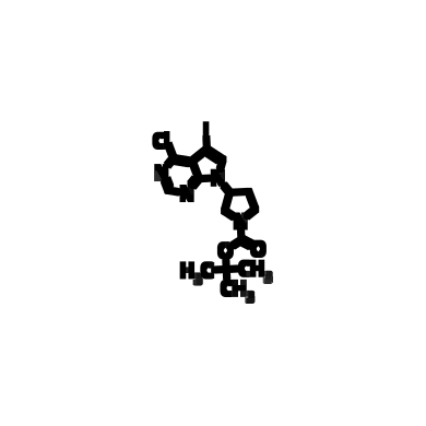 CC(C)(C)OC(=O)N1CCC(n2cc(I)c3c(Cl)ncnc32)C1